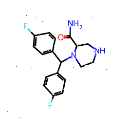 NC(=O)C1CNCCN1C(c1ccc(F)cc1)c1ccc(F)cc1